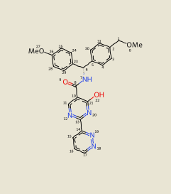 COCc1ccc([C@H](NC(=O)c2cnc(-c3cccnn3)nc2O)c2ccc(OC)cc2)cc1